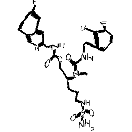 CN(C(=O)NCc1cccc(F)c1Cl)[C@@H](CCCNS(N)(=O)=O)COC(=O)Nc1cc2cc(F)ccc2cn1